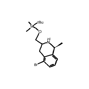 C[C@@H]1NC(CO[Si](C)(C)C(C)(C)C)Cc2c(Br)cccc21